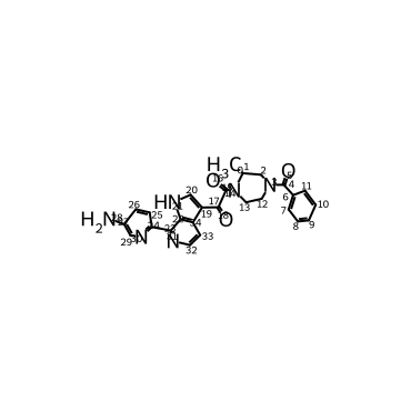 C[C@@H]1CN(C(=O)c2ccccc2)CCN1C(=O)C(=O)c1c[nH]c2c(-c3ccc(N)cn3)nccc12